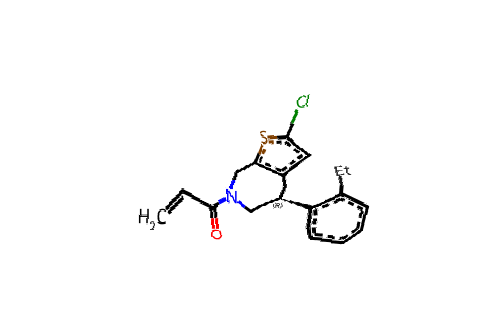 C=CC(=O)N1Cc2sc(Cl)cc2[C@@H](c2ccccc2CC)C1